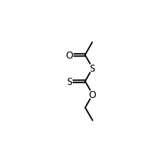 CCOC(=S)SC(C)=O